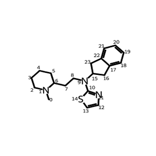 CN1CCCCC1CCN(c1nccs1)C1Cc2ccccc2C1